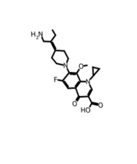 CCC(CN)=C1CCN(c2c(F)cc3c(=O)c(C(=O)O)cn(C4CC4)c3c2OC)CC1